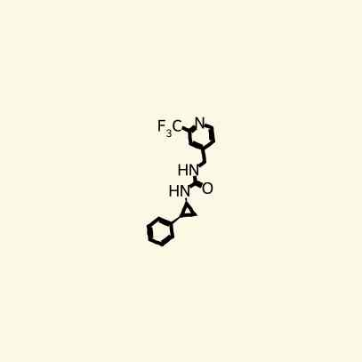 O=C(NCc1ccnc(C(F)(F)F)c1)N[C@@H]1C[C@H]1c1ccccc1